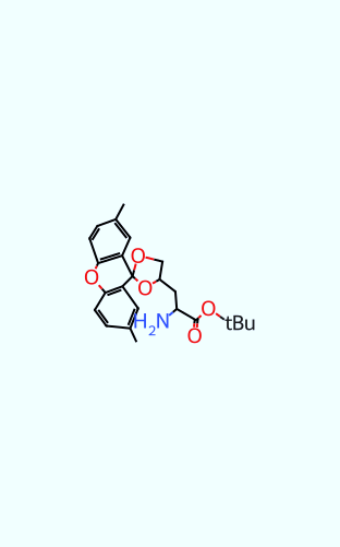 Cc1ccc2c(c1)C1(OCC(CC(N)C(=O)OC(C)(C)C)O1)c1cc(C)ccc1O2